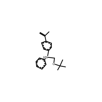 C=C(C)c1ccc([SiH](COC(C)(C)C)c2ccccc2)cc1